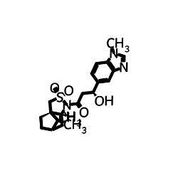 Cn1cnc2cc([C@@H](O)CC(=O)N3[C@@H]4CC5CC[C@]4(CS3(=O)=O)C5(C)C)ccc21